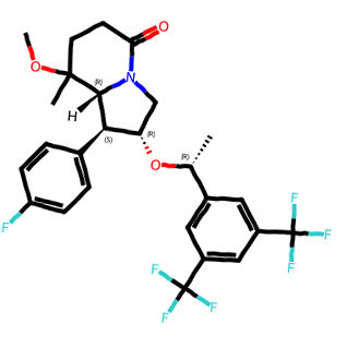 COC1(C)CCC(=O)N2C[C@H](O[C@H](C)c3cc(C(F)(F)F)cc(C(F)(F)F)c3)[C@@H](c3ccc(F)cc3)[C@@H]21